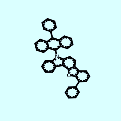 c1ccc(-c2c3ccccc3c(-n3c4ccccc4c4c5oc6c(-c7ccccc7)cccc6c5ccc43)c3ccccc23)cc1